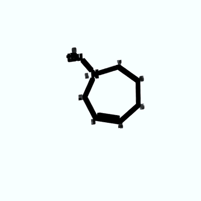 CC(C)(C)N1CC=CCCC1